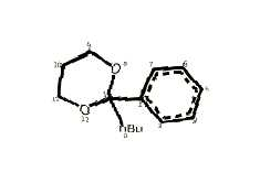 CCCCC1(c2ccccc2)OCCCO1